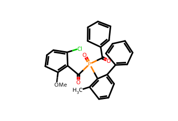 COc1cccc(Cl)c1C(=O)P(=O)(C(=O)c1ccccc1)c1c(C)cccc1-c1ccccc1